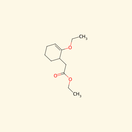 CCOC(=O)CC1CCCC=C1OCC